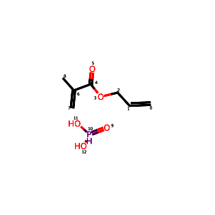 C=CCOC(=O)C(=C)C.O=[PH](O)O